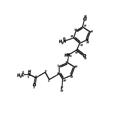 CNC(=O)CCc1cc(NC(=O)c2ncc(Cl)cc2N)ccc1F